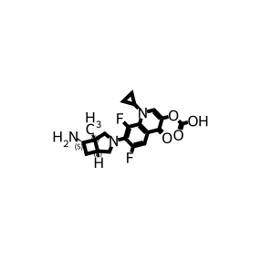 C[C@@]12CN(c3c(F)cc4c(=O)c(OC(=O)O)cn(C5CC5)c4c3F)C[C@@H]1C[C@@H]2N